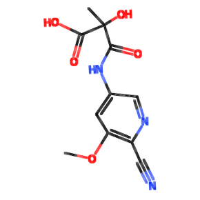 COc1cc(NC(=O)C(C)(O)C(=O)O)cnc1C#N